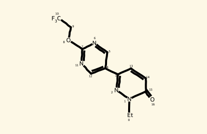 CCn1nc(-c2cnc(OCC(F)(F)F)nc2)ccc1=O